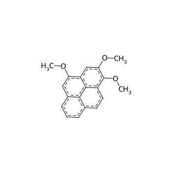 COc1cc2c(OC)cc3cccc4ccc(c1OC)c2c43